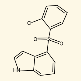 O=S(=O)(c1ccccc1Cl)c1cccc2[nH]ccc12